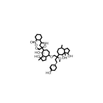 COC(CC[C@@H]1CC=C(O)CC1)(COC1CCC(C2(C=O)CC(C3CCCCC3[N+](=O)[O-])NO2)[C@@H](O)[C@@]2(C)C1CCC2(C)O)C1CCC(C)C2CCC(O)C2(C)[C@@H]1O